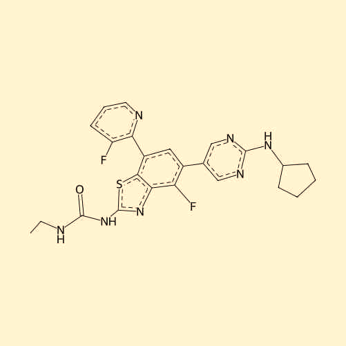 CCNC(=O)Nc1nc2c(F)c(-c3cnc(NC4CCCC4)nc3)cc(-c3ncccc3F)c2s1